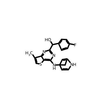 Cc1csc2c(NC34C=CNC(=C3)C4)nc(C(O)c3ccc(F)cc3)nc12